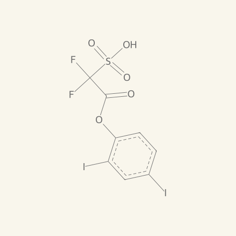 O=C(Oc1ccc(I)cc1I)C(F)(F)S(=O)(=O)O